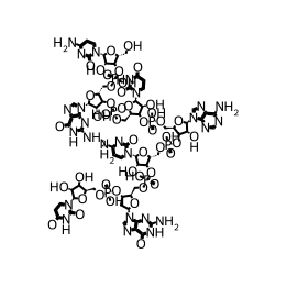 Nc1ccn([C@@H]2O[C@H](CO)C(OP(=O)(O)OC[C@H]3O[C@@H](n4cnc5c(=O)[nH]c(N)nc54)[C@@H](O)C3OP(=O)(O)OC[C@H]3O[C@@H](n4ccc(=O)[nH]c4=O)[C@@H](O)C3OP(=O)(O)OC[C@H]3O[C@@H](n4cnc5c(N)ncnc54)[C@@H](O)C3OP(=O)(O)OC[C@H]3O[C@@H](n4ccc(N)nc4=O)[C@@H](O)C3OP(=O)(O)OC[C@H]3O[C@@H](n4cnc5c(=O)[nH]c(N)nc54)C[C@H]3OP(=O)(O)OC[C@H]3O[C@@H](n4ccc(=O)[nH]c4=O)[C@@H](O)C3O)[C@@H]2O)c(=O)n1